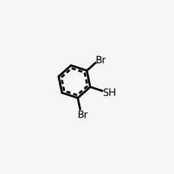 Sc1c(Br)cccc1Br